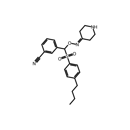 CCCCc1ccc(S(=O)(=O)C(ON=C2CCNCC2)c2cccc(C#N)c2)cc1